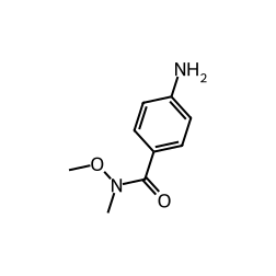 CON(C)C(=O)c1ccc(N)cc1